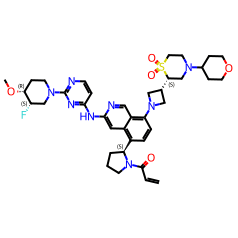 C=CC(=O)N1CCC[C@H]1c1ccc(N2CC([C@H]3CN(C4CCOCC4)CCS3(=O)=O)C2)c2cnc(Nc3ccnc(N4CC[C@@H](OC)[C@@H](F)C4)n3)cc12